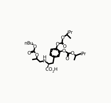 CCCCOC(=O)OC(C)CN[C@@H](Cc1ccc(OC(=O)OC(C)C(C)C)c(OC(=O)OC(C)C(C)C)c1)C(=O)O